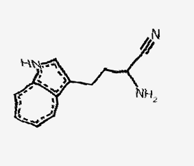 N#CC(N)CCc1c[nH]c2ccccc12